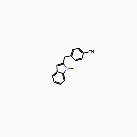 Cn1c(Cc2ccc(C#N)cc2)cc2ccccc21